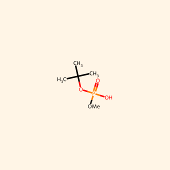 [CH2]OP(=O)(O)OC(C)(C)C